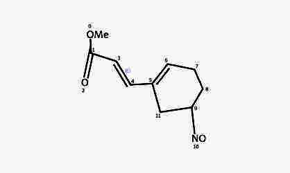 COC(=O)/C=C/C1=CCCC(N=O)C1